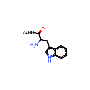 CC(=O)NC(=O)C(N)Cc1c[nH]c2ccccc12